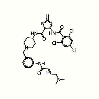 CN(C)C/C=C/C(=O)Nc1cccc(CN2CCC(NC(=O)c3n[nH]cc3NC(=O)c3c(Cl)cc(Cl)cc3Cl)CC2)c1